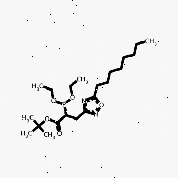 CCCCCCCCc1nc(CC(C(=O)OC(C)(C)C)P(OCC)OCC)no1